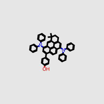 CC1(C)CCc2cc(N(c3ccccc3)c3ccccc3)c3ccc4c(-c5ccc(O)cc5)cc(N(c5ccccc5)c5ccccc5)c5cc1c2c3c45